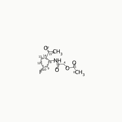 CC(=O)OCC(=O)Nc1cc(F)ccc1C(C)=O